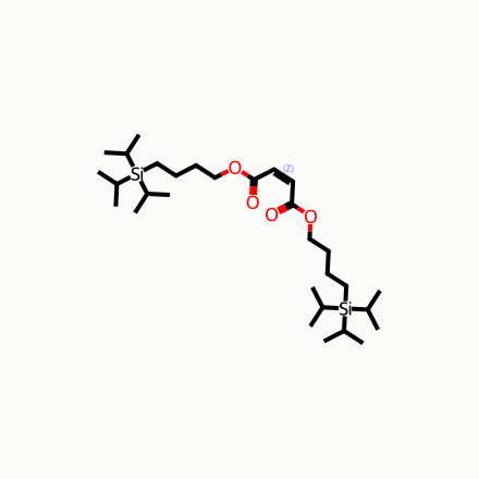 CC(C)[Si](CCCCOC(=O)/C=C\C(=O)OCCCC[Si](C(C)C)(C(C)C)C(C)C)(C(C)C)C(C)C